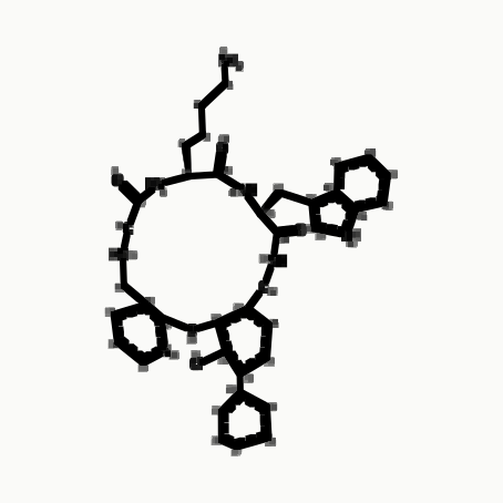 NCCCC[C@@H]1NC(=O)CNCc2cccnc2Sc2c(ccc(-c3ccccc3)c2Cl)CNC(=O)[C@H](Cc2c[nH]c3ccccc23)NC1=O